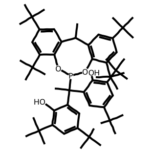 CC1c2cc(C(C)(C)C)cc(C(C)(C)C)c2OP(C(C)(c2cc(C(C)(C)C)cc(C(C)(C)C)c2O)c2cc(C(C)(C)C)cc(C(C)(C)C)c2O)Oc2c1cc(C(C)(C)C)cc2C(C)(C)C